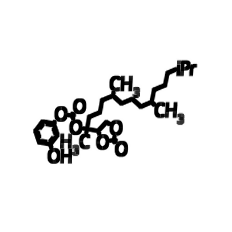 CC(C)CCCC(C)CCCC(C)CCCC(C)(OC(=O)Oc1cccc(O)c1)C1COC(=O)O1